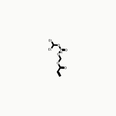 C=CC(=O)OCO[PH](=O)OC(CC)CC